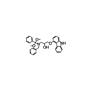 COC(OC)(c1ccccc1)N(Cc1ccccc1)CC(O)COc1cccc2[nH]c3ccccc3c12